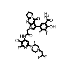 C[C@H]1CN(CC(F)F)CCN1c1cc(NC(=O)Cn2cc(-c3cc(C(N)=O)c(O)c(F)c3F)c3c(=O)n4c(nc32)CCC4)c(Cl)c(F)n1